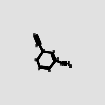 C#CC1C=C(N)C=CC1